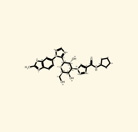 Cc1nc2ccc(-n3ncnc3[C@@H]3O[C@H](CO)[C@H](O)[C@H](n4cc(C(=O)NC5CCCC5)nn4)[C@H]3O)cc2s1